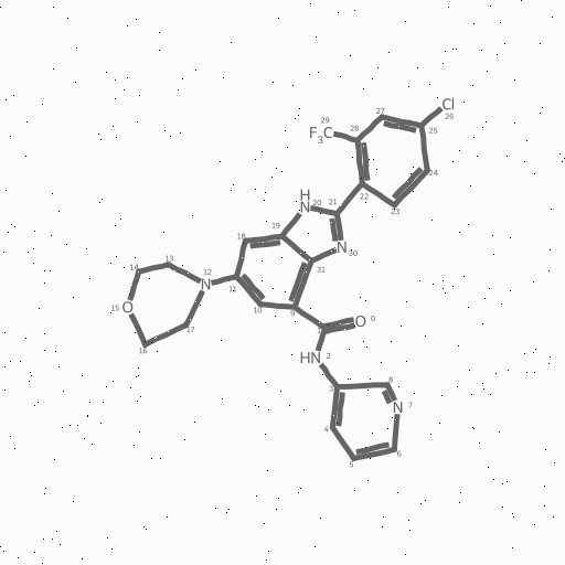 O=C(Nc1cccnc1)c1cc(N2CCOCC2)cc2[nH]c(-c3ccc(Cl)cc3C(F)(F)F)nc12